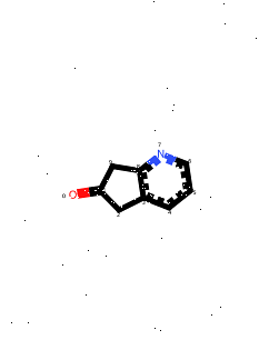 O=C1Cc2cccnc2C1